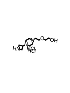 Cl.Cl.OCCOCCN1CCN(C2CNC2)CC1